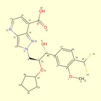 COc1cc([C@@H](O)[C@H](Cn2cc3nccc(C(=O)O)c3n2)OC2CCCC2)ccc1C(F)F